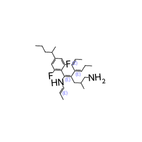 C\C=C/C(=C\CC)C(/CC(C)CN)=C(/N/C=C/C)c1c(F)cc(C(C)CCC)cc1F